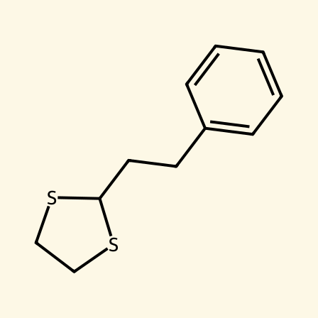 c1ccc(CCC2SCCS2)cc1